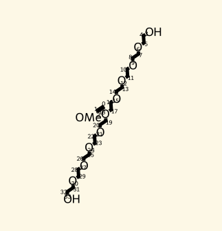 C=COC.OCCOCCOCCOCCOCCOCCOCCOCCOCCOCCO